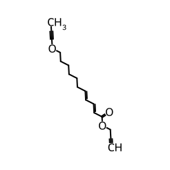 C#CCOC(=O)/C=C/C=C/CCCCCCOC#CC